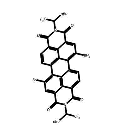 Bc1cc2c3c(ccc4c5c(Br)cc6c7c(ccc(c1c34)c75)C(=O)N(C(CCCC)C(F)(F)F)C6=O)C(=O)N(C(CCCC)C(F)(F)F)C2=O